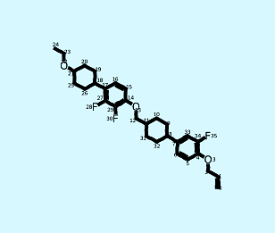 C=CCOc1ccc(C2CCC(COc3ccc(C4CCC(OCC)CC4)c(F)c3F)CC2)cc1F